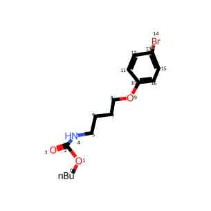 CCCCOC(=O)NCCCCOc1ccc(Br)cc1